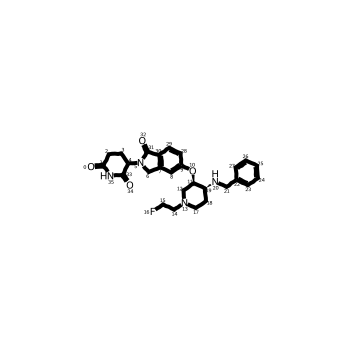 O=C1CCC(N2Cc3cc(O[C@@H]4CN(CCF)CC[C@H]4NCc4ccccc4)ccc3C2=O)C(=O)N1